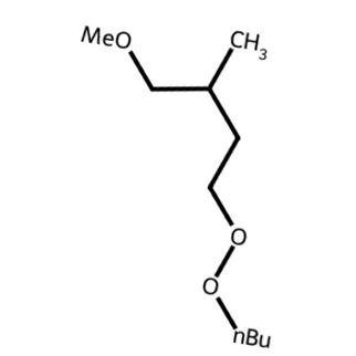 CCCCOOCCC(C)COC